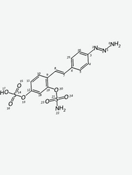 NN=Nc1ccc(C=Cc2ccc(OS(=O)(=O)O)cc2OS(N)(=O)=O)cc1